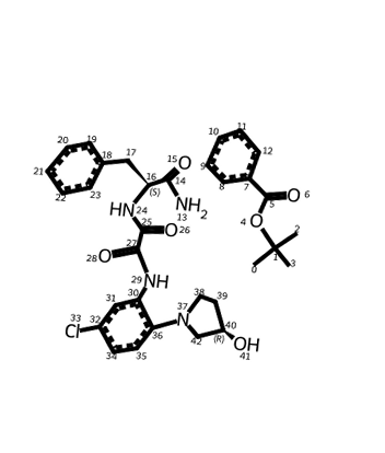 CC(C)(C)OC(=O)c1ccccc1.NC(=O)[C@H](Cc1ccccc1)NC(=O)C(=O)Nc1cc(Cl)ccc1N1CC[C@@H](O)C1